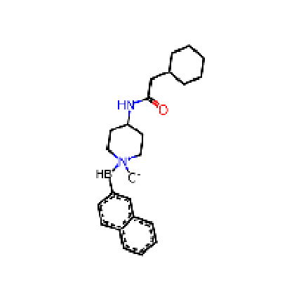 [CH2-][N+]1(Bc2ccc3ccccc3c2)CCC(NC(=O)CC2CCCCC2)CC1